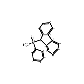 C[Si](Cl)(c1ccccc1)C1c2ccccc2-c2ccccc21